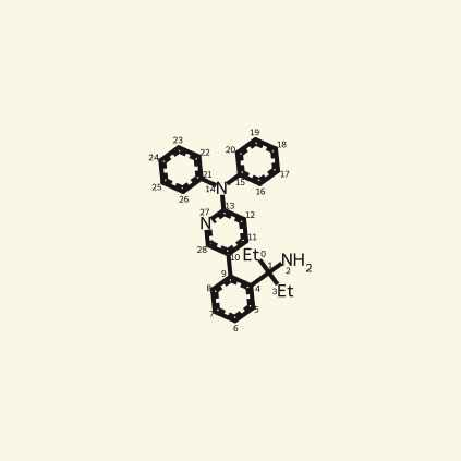 CCC(N)(CC)c1ccccc1-c1ccc(N(c2ccccc2)c2ccccc2)nc1